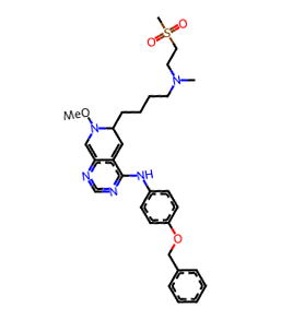 CON1C=c2ncnc(Nc3ccc(OCc4ccccc4)cc3)c2=CC1CCCCN(C)CCS(C)(=O)=O